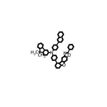 CC1(C)c2ccccc2-c2cc(N(c3ccc(-c4ccc5ccccc5c4)cc3)c3ccc(-c4cccc5oc6cc7oc(-c8ccccc8)nc7cc6c45)cc3)ccc21